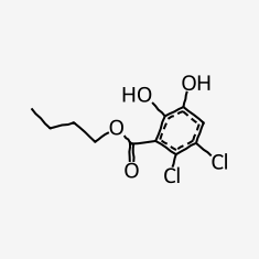 CCCCOC(=O)c1c(O)c(O)cc(Cl)c1Cl